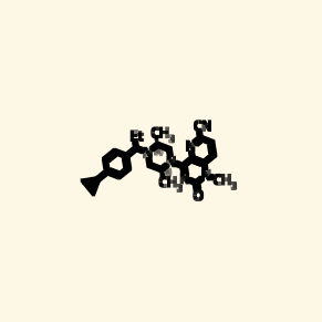 CCC(c1ccc(C2CC2)cc1)N1C[C@H](C)N(c2nc(=O)n(C)c3ccc(C#N)nc23)C[C@H]1C